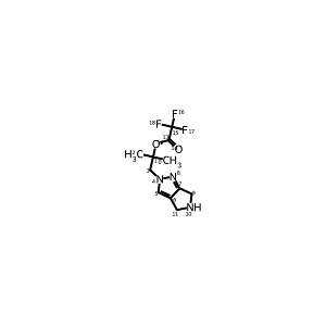 CC(C)(Cn1cc2c(n1)CNC2)OC(=O)C(F)(F)F